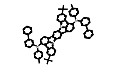 Cc1ccc(N(c2cccc(-c3ccccc3)c2)c2ccc3c4cc5c(cc4n4c6ccc(C(C)(C)C)cc6c2c34)c2ccc(N(c3ccc(C)cc3)c3cccc(-c4ccccc4)c3)c3c4cc(C(C)(C)C)ccc4n5c23)cc1